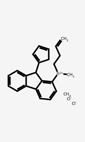 C.C=CC[CH2][Zr+2]([CH3])[c]1cccc2c1C(C1=CC=CC1)c1ccccc1-2.[Cl-].[Cl-]